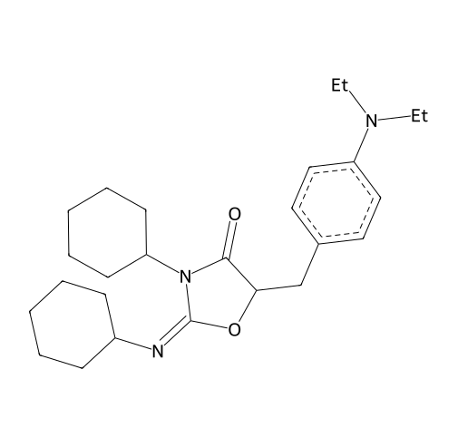 CCN(CC)c1ccc(CC2O/C(=N/C3CCCCC3)N(C3CCCCC3)C2=O)cc1